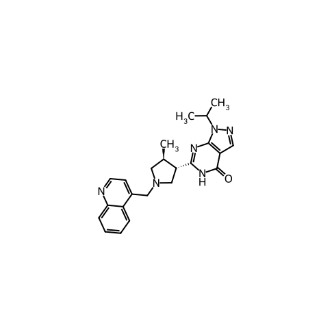 CC(C)n1ncc2c(=O)[nH]c([C@@H]3CN(Cc4ccnc5ccccc45)C[C@H]3C)nc21